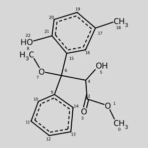 COC(=O)C(O)C(OC)(c1ccccc1)c1cc(C)ccc1O